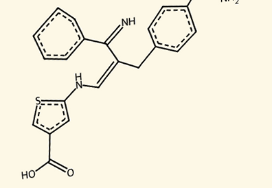 N=C(/C(=C\Nc1cc(C(=O)O)cs1)Cc1ccc(SN)cc1)c1ccccc1